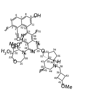 C#Cc1c(F)ccc2cc(O)cc(-c3nc(OC)c4c(N5CCOC[C@@](C)(O)C5)nc(OC[C@]56CCC[C@H]5N(CC5CC(OC)C5)C[C@@H](F)C6)nc4c3F)c12